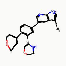 Cc1c[nH]c2ncc(-c3ccc(C4CCOCC4)c([C@@H]4COCCN4)c3)cc12